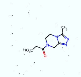 O=C(O)CC(=O)N1CCn2c(nnc2C(F)(F)F)C1